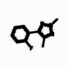 Cc1nn(C)nc1-c1ccccc1F